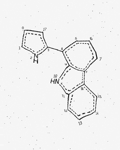 c1c[nH]c(-c2cccc3c2[nH]c2ccccc23)c1